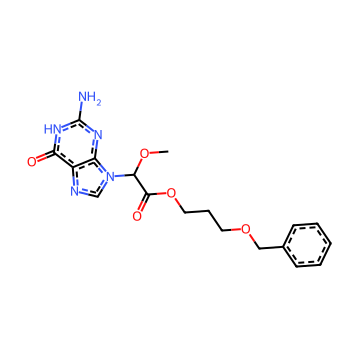 COC(C(=O)OCCCOCc1ccccc1)n1cnc2c(=O)[nH]c(N)nc21